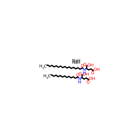 CCCCCCCCCCCCCC(=O)NC(CCC(=O)O)C(=O)O.CCCCCCCCCCCCCCCCCC(=O)NC(CCC(=O)O)C(=O)O.[NaH].[NaH]